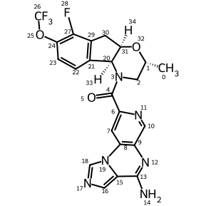 C[C@@H]1CN(C(=O)c2cc3c(cn2)nc(N)c2cncn23)[C@H]2c3ccc(OC(F)(F)F)c(F)c3C[C@H]2O1